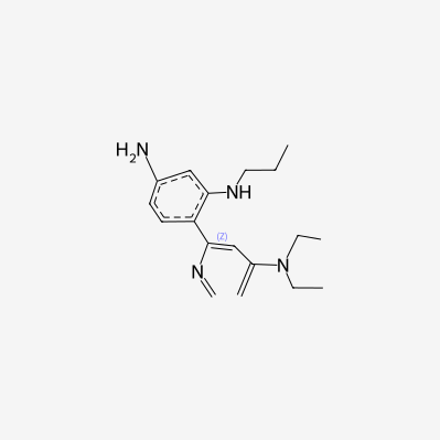 C=N/C(=C\C(=C)N(CC)CC)c1ccc(N)cc1NCCC